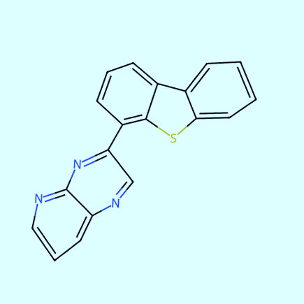 c1cnc2nc(-c3cccc4c3sc3ccccc34)cnc2c1